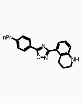 CCCc1ccc(-c2nc(-c3cccc4c3CCCN4)no2)cc1